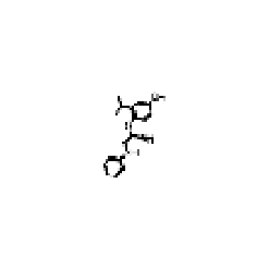 COc1ccc(OC(C#N)=CNc2ccccc2)c(C(C)C)c1